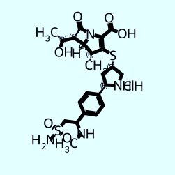 CNC(CS(N)(=O)=O)c1ccc([C@H]2C[C@H](SC3=C(C(=O)O)N4C(=O)[C@H]([C@@H](C)O)[C@H]4[C@H]3C)CN2)cc1.Cl